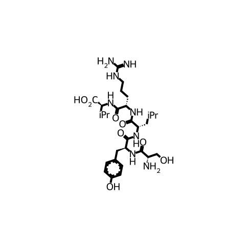 CC(C)C[C@H](NC(=O)[C@H](Cc1ccc(O)cc1)NC(=O)[C@@H](N)CO)C(=O)N[C@@H](CCCNC(=N)N)C(=O)N[C@H](C(=O)O)C(C)C